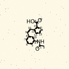 CC(=O)Nc1cccc(/C=C\c2ccsc2C(=O)O)c1